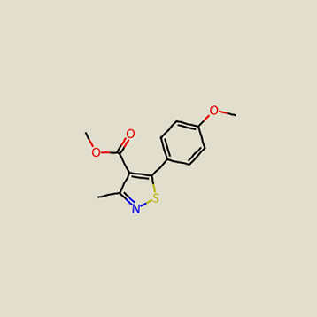 COC(=O)c1c(C)nsc1-c1ccc(OC)cc1